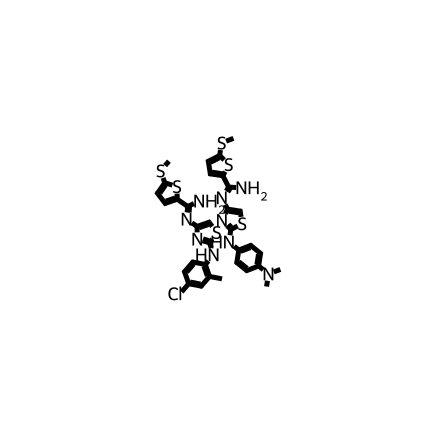 CSc1ccc(C(N)=Nc2csc(Nc3ccc(Cl)cc3C)n2)s1.CSc1ccc(C(N)=Nc2csc(Nc3ccc(N(C)C)cc3)n2)s1